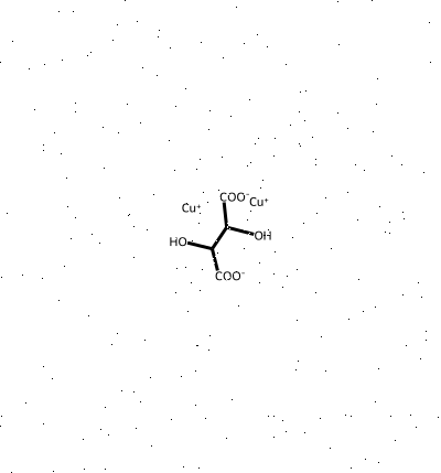 O=C([O-])C(O)C(O)C(=O)[O-].[Cu+].[Cu+]